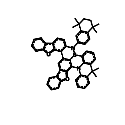 CC1(C)CCC(C)(C)c2cc(N3B4c5cccc6c5N(c5ccccc5C6(C)C)c5c4c(cc4c5oc5ccccc54)-c4c3ccc3c4oc4ccccc43)ccc21